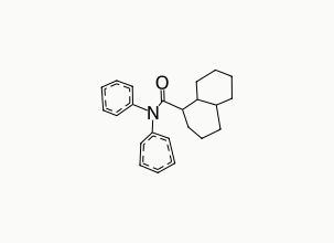 O=C(C1CCCC2CCCCC21)N(c1ccccc1)c1ccccc1